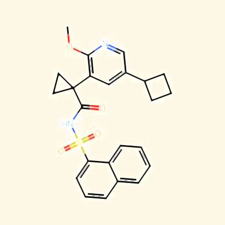 COc1ncc(C2CCC2)cc1C1(C(=O)NS(=O)(=O)c2cccc3ccccc23)CC1